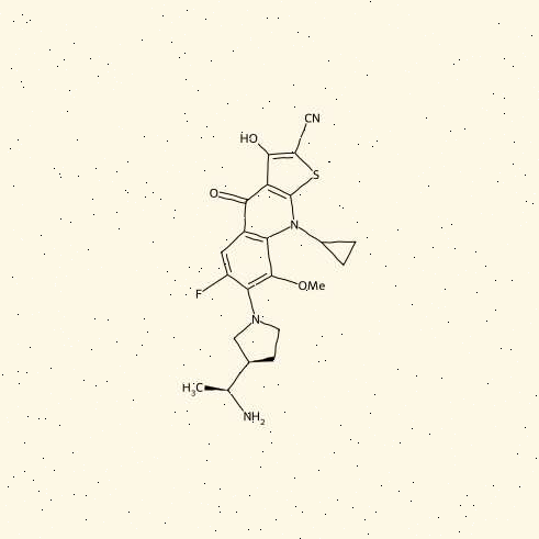 COc1c(N2CC[C@@H]([C@H](C)N)C2)c(F)cc2c(=O)c3c(O)c(C#N)sc3n(C3CC3)c12